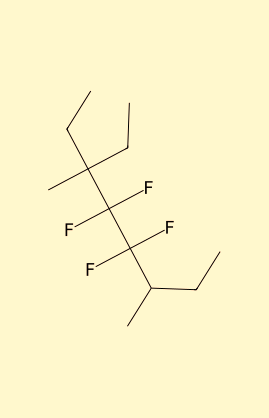 CCC(C)C(F)(F)C(F)(F)C(C)(CC)CC